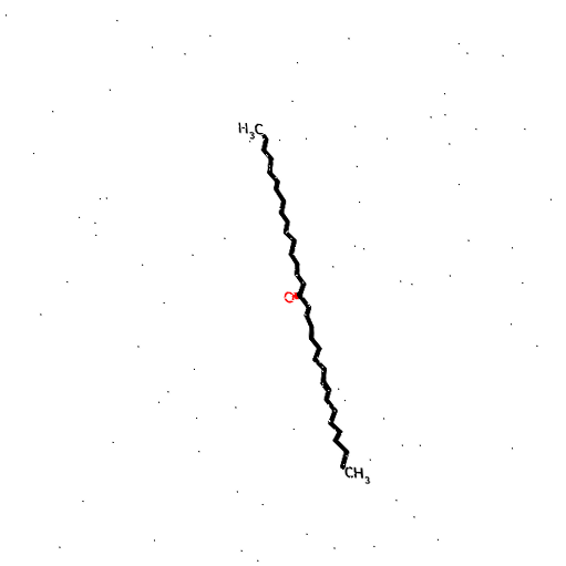 CCCCCCCCC=CCCCCCCCC(=O)CCCCCCCCCCCCCCCC